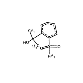 CC(C)(O)c1ccccc1S(N)(=O)=O